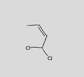 C/C=C\C(Cl)Cl